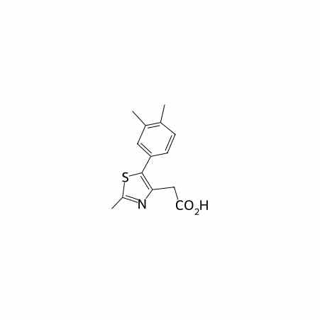 Cc1nc(CC(=O)O)c(-c2ccc(C)c(C)c2)s1